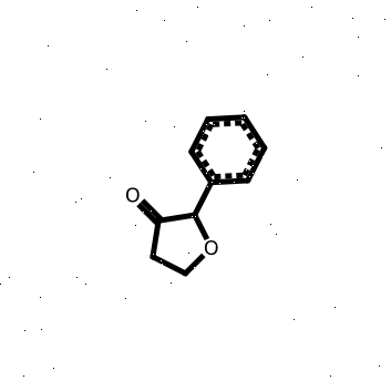 O=C1CCOC1c1ccccc1